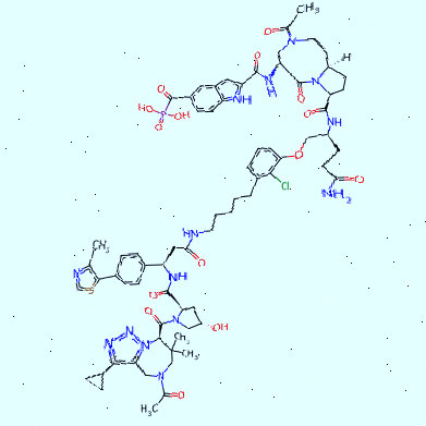 CC(=O)N1CC[C@H]2CC[C@@H](C(=O)N[C@@H](CCC(N)=O)COc3cccc(CCCCCNC(=O)C[C@@H](NC(=O)[C@H]4C[C@H](O)CN4C(=O)[C@@H]4n5nnc(C6CC6)c5CN(C(C)=O)CC4(C)C)c4ccc(-c5scnc5C)cc4)c3Cl)N2C(=O)[C@@H](NC(=O)c2cc3cc(C(=O)P(=O)(O)O)ccc3[nH]2)C1